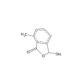 Cc1cccc2c1C(=O)OC2O